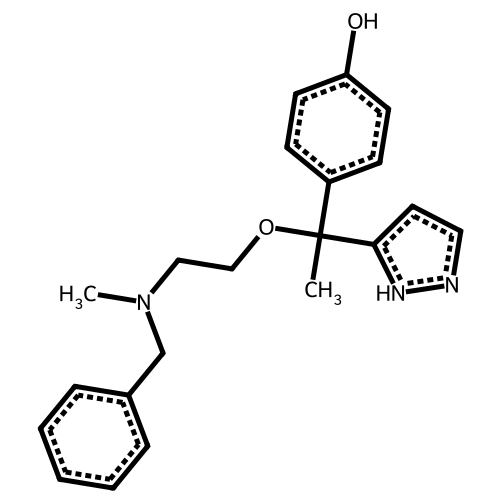 CN(CCOC(C)(c1ccc(O)cc1)c1ccn[nH]1)Cc1ccccc1